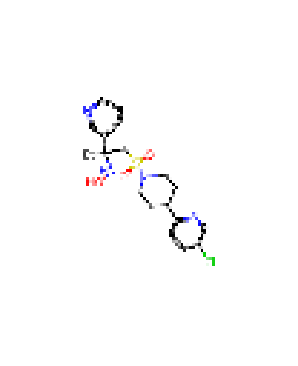 CCC(CS(=O)(=O)N1CCC(c2ccc(Cl)cn2)CC1)(NO)c1cccnc1